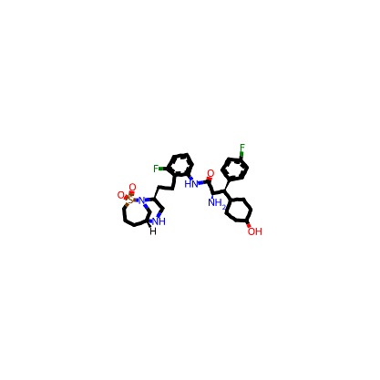 N[C@H](C(=O)Nc1cccc(F)c1CC[C@H]1CN[C@@H]2CCCS(=O)(=O)N1C2)[C@@H](c1ccc(F)cc1)C1CCC(O)CC1